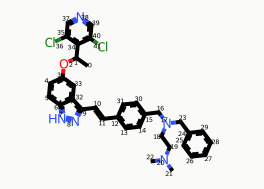 CC(Oc1ccc2[nH]nc(/C=C/c3ccc(CN(CCN(C)C)Cc4ccccc4)cc3)c2c1)c1c(Cl)cncc1Cl